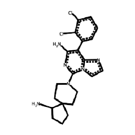 Nc1nc(N2CCC3(CCCC3N)CC2)n2ccnc2c1-c1cccc(Cl)c1Cl